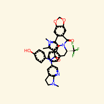 Cc1c(C(=O)N(c2ccc(O)cc2)c2cnc3c(c2)CCN3C)cc(-c2cc3c(cc2C(=O)N2Cc4ccccc4C[C@H]2C(F)(F)F)OCO3)n1C